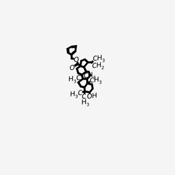 C=C(C)C1CCC2(C(=O)OCc3ccccc3)CC[C@]3(C)C(CCC4C5(C)CCC(O)C(C)(C)C5CCC43C)C12